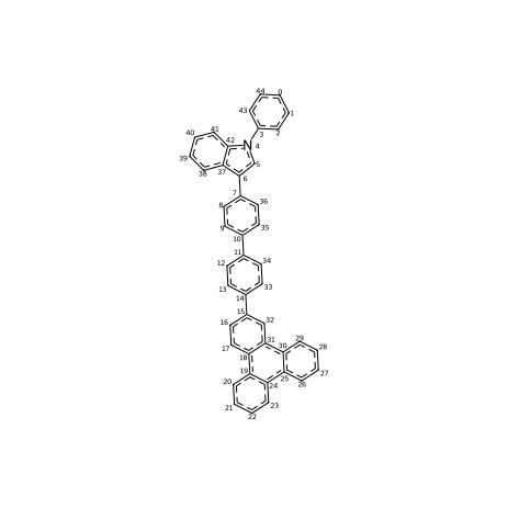 c1ccc(-n2cc(-c3ccc(-c4ccc(-c5ccc6c7ccccc7c7ccccc7c6c5)cc4)cc3)c3ccccc32)cc1